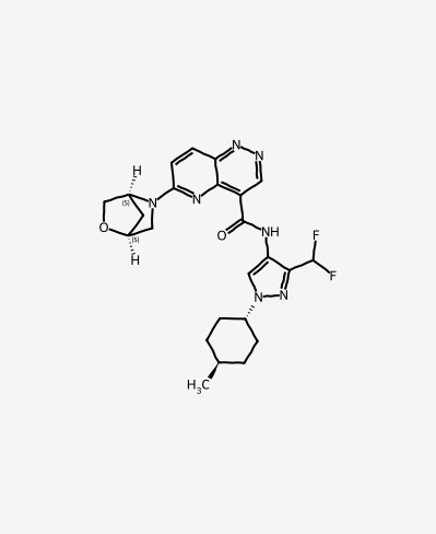 C[C@H]1CC[C@H](n2cc(NC(=O)c3cnnc4ccc(N5C[C@@H]6C[C@H]5CO6)nc34)c(C(F)F)n2)CC1